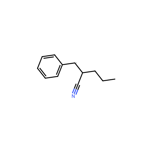 CCCC(C#N)[CH]c1ccccc1